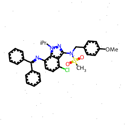 COc1ccc(CN(c2nn(C(C)C)c3c(N=C(c4ccccc4)c4ccccc4)ccc(Cl)c23)S(C)(=O)=O)cc1